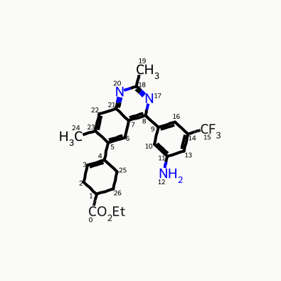 CCOC(=O)C1CC=C(c2cc3c(-c4cc(N)cc(C(F)(F)F)c4)nc(C)nc3cc2C)CC1